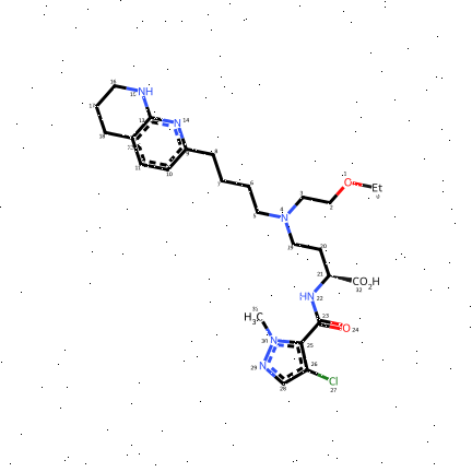 CCOCCN(CCCCc1ccc2c(n1)NCCC2)CC[C@H](NC(=O)c1c(Cl)cnn1C)C(=O)O